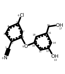 N#Cc1ccc(Cl)cc1Oc1cc(O)cc(CO)c1